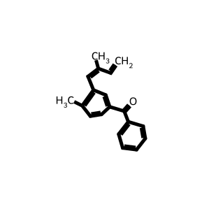 C=C/C(C)=C\c1cc(C(=O)c2ccccc2)ccc1C